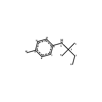 CCC(C)(C)Nc1ccc(C)cc1